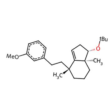 COc1cccc(CC[C@@]2(C)CCC[C@@]3(C)C2=CC[C@@H]3OC(C)(C)C)c1